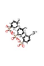 Cc1ccc(S(=O)(=O)[O-])cc1.Cc1ccc(S(=O)(=O)[O-])cc1.Cc1ccc(S(=O)(=O)[O-])cc1.[Bi+3]